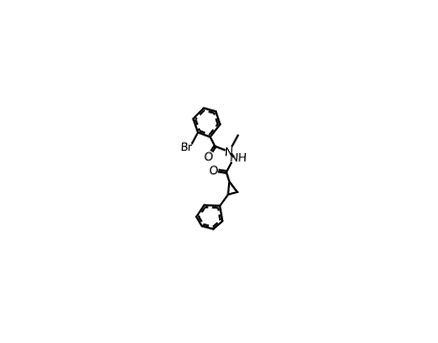 CN(NC(=O)C1CC1c1ccccc1)C(=O)c1ccccc1Br